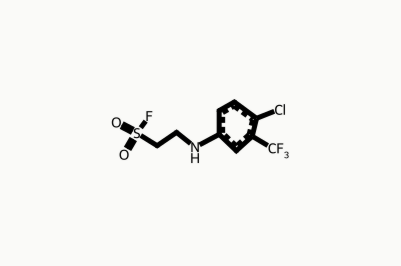 O=S(=O)(F)CCNc1ccc(Cl)c(C(F)(F)F)c1